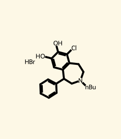 Br.CCCCN1CCc2c(cc(O)c(O)c2Cl)C(c2ccccc2)C1